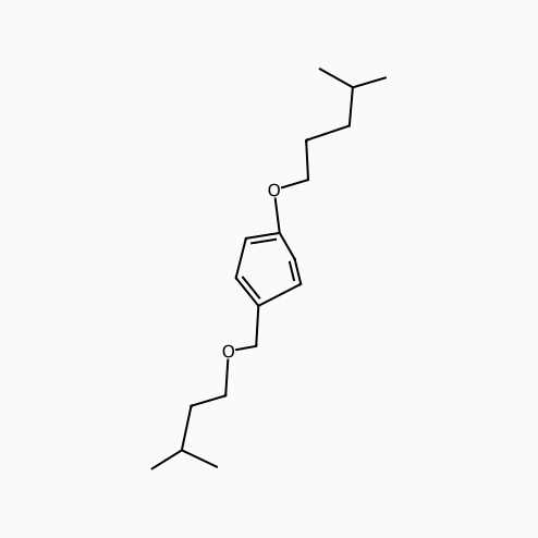 CC(C)CCCOc1ccc(COCCC(C)C)cc1